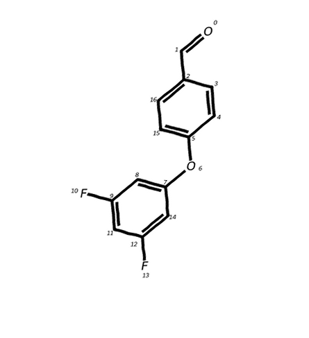 O=Cc1ccc(Oc2cc(F)cc(F)c2)cc1